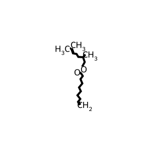 C=CCCCCCCCC(=O)OCCC(C)CCC=C(C)C